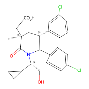 C[C@]1(CC(=O)O)C[C@H](c2cccc(Cl)c2)C(c2ccc(Cl)cc2)N([C@H](CO)C2CC2)C1=O